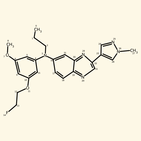 CCCN(c1cc(OC)cc(OCCF)c1)c1ccc2ncc(-c3cnn(C)c3)nc2c1